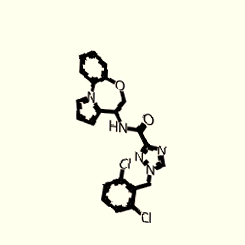 O=C(NC1COc2ccccc2-n2cccc21)c1ncn(Cc2c(Cl)cccc2Cl)n1